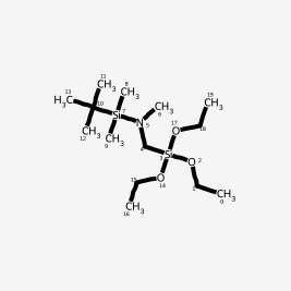 CCO[Si](CN(C)[Si](C)(C)C(C)(C)C)(OCC)OCC